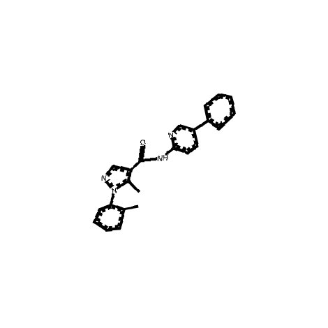 Cc1ccccc1-n1ncc(C(=O)Nc2ccc(-c3ccccc3)cn2)c1C